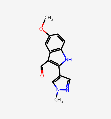 COc1ccc2[nH]c(-c3cnn(C)c3)c(C=O)c2c1